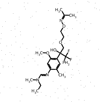 CCN(C)/C=N/c1cc(OC)c(C(O)(COCCON=C(C)C)C(F)(F)P)cc1C